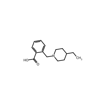 CCC1CCN(Cc2ccccc2C(=O)O)CC1